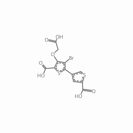 O=C(O)COc1c(C(=O)O)sc(-c2csc(C(=O)O)c2)c1Br